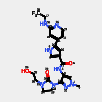 Cn1cc(NC(=O)c2c[nH]c(-c3ccnc(NCC(F)(F)F)c3)c2)c(N2CCN(CCO)C2=O)n1